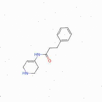 O=C(CCc1ccccc1)NC1=CCNCC1